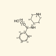 Cl.Cl.O=C(NC1CCNCC1)c1ccccn1